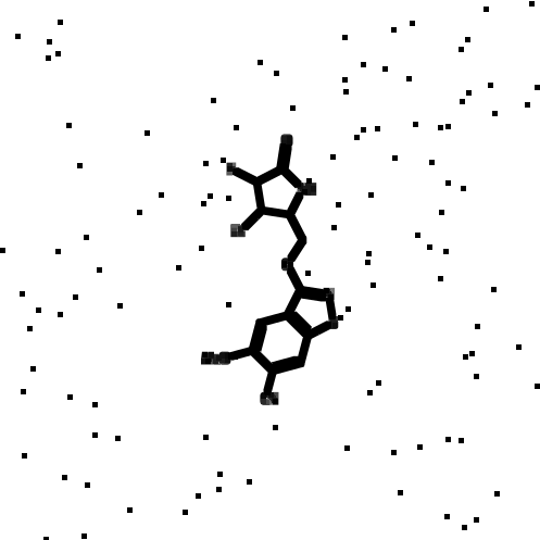 CCC1C(COc2nsc3cc(C#N)c(OC)cc23)NC(=O)C1F